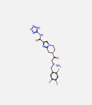 N[C@@H](CC(=O)N1CCn2cc(C(=O)Nc3nnn[nH]3)nc2C1)Cc1cc(F)c(F)cc1F